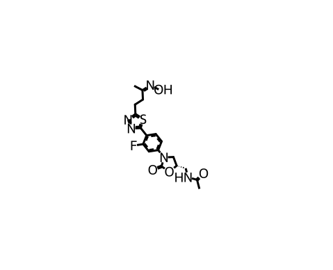 CC(=O)NC[C@H]1CN(c2ccc(-c3nnc(CC/C(C)=N\O)s3)c(F)c2)C(=O)O1